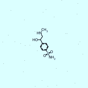 CNCC(O)c1ccc(S(N)(=O)=O)cc1